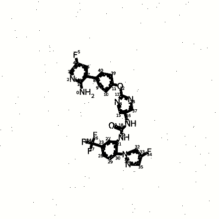 Nc1ncc(F)cc1-c1ccc(Oc2ncc(NC(=O)Nc3cc(C(F)(F)F)ccc3-n3cc(F)cn3)cn2)cc1